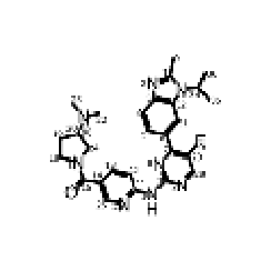 Cc1nc2ccc(-c3nc(Nc4ccc(C(=O)N5CC[C@@H](N(C)C)C5)cn4)ncc3F)cc2n1C(C)C